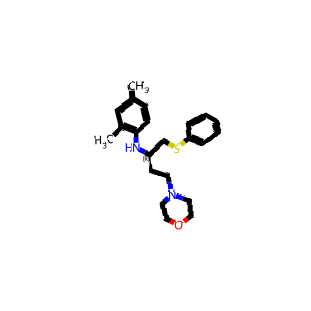 Cc1ccc(N[C@H](CCN2CCOCC2)CSc2ccccc2)c(C)c1